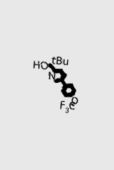 CC(C)(C)C(O)c1ccc(-c2ccc(OC(F)(F)F)cc2)cn1